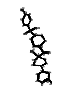 CCC1(C(=O)N2CCN(S(=O)(=O)c3ccc(Br)cc3)CC2)CCN(c2ccnc(C)n2)CC1